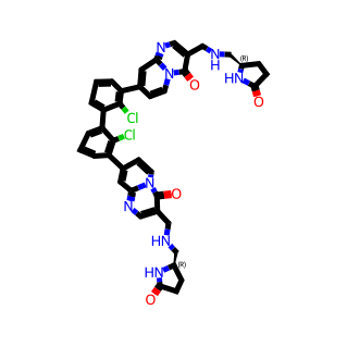 O=C1CC[C@H](CNCc2cnc3cc(-c4cccc(-c5cccc(-c6ccn7c(=O)c(CNC[C@H]8CCC(=O)N8)cnc7c6)c5Cl)c4Cl)ccn3c2=O)N1